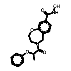 CC(Oc1ccccc1)C(=O)N1CCOc2cc(C(=O)NO)ccc2C1